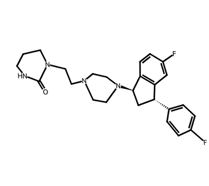 O=C1NCCCN1CCN1CCN([C@@H]2C[C@@H](c3ccc(F)cc3)c3cc(F)ccc32)CC1